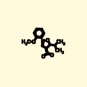 CC(C)C1ON=CC1=S(=O)=O.COc1ccccc1